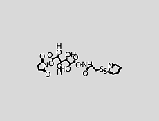 O=C(CCSSc1ccccn1)NOC(=O)C(O)C(O)C(O)C(O)C(=O)ON1C(=O)CCC1=O